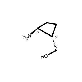 N[C@H]1CC[C@@H]1CO